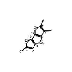 Cc1cc2sc3c(C)c(C)sc3c2s1